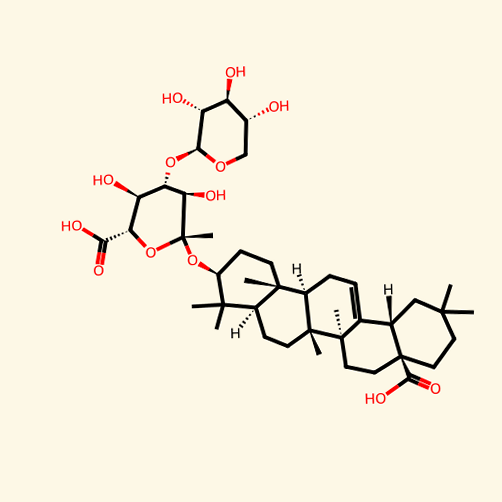 CC1(C)CC[C@]2(C(=O)O)CC[C@]3(C)C(=CC[C@@H]4[C@@]5(C)CC[C@H](O[C@]6(C)O[C@H](C(=O)O)[C@@H](O)[C@H](O[C@@H]7OC[C@@H](O)[C@H](O)[C@H]7O)[C@H]6O)C(C)(C)[C@@H]5CC[C@]43C)[C@@H]2C1